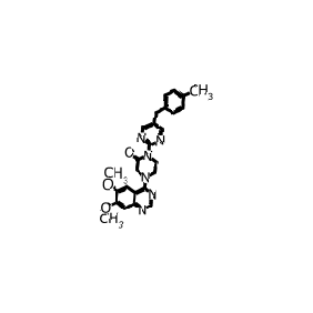 COc1cc2ncnc(N3CCN(c4ncc(Cc5ccc(C)cc5)cn4)C(=O)C3)c2cc1OC